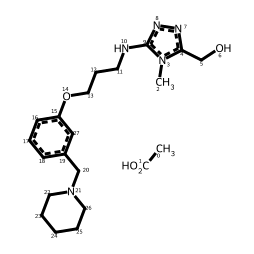 CC(=O)O.Cn1c(CO)nnc1NCCCOc1cccc(CN2CCCCC2)c1